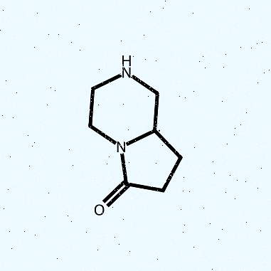 O=C1CC[C]2CNCCN21